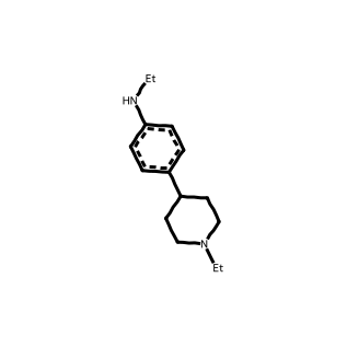 CCNc1ccc(C2CCN(CC)CC2)cc1